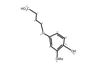 COc1cc(OCCCC(=O)O)ccc1O